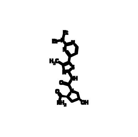 CCN(CC)c1nccc(-c2sc(NC(=O)N3C[C@H](O)C[C@H]3C(N)=O)nc2C)n1